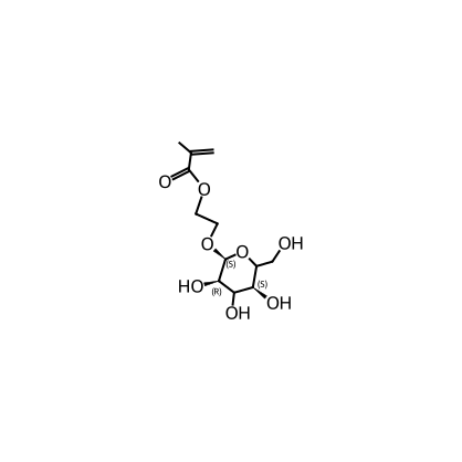 C=C(C)C(=O)OCCO[C@H]1OC(CO)[C@@H](O)C(O)[C@H]1O